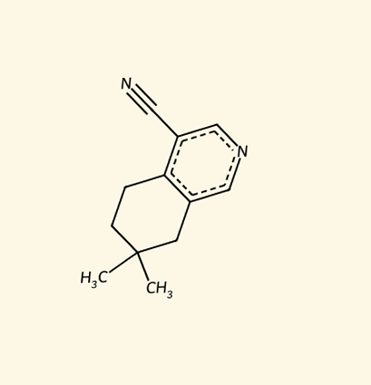 CC1(C)CCc2c(C#N)cncc2C1